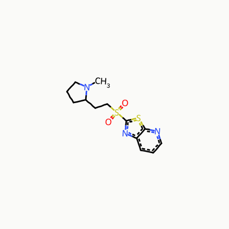 CN1CCCC1CCS(=O)(=O)c1nc2cccnc2s1